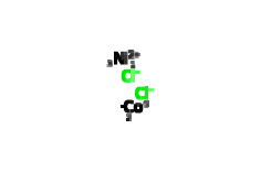 [Cl-].[Cl-].[Co].[Ni+2]